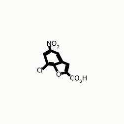 O=C(O)c1cc2cc([N+](=O)[O-])cc(Cl)c2o1